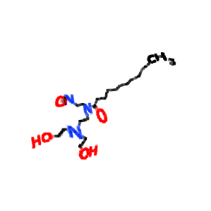 CCCCCCCCCCCC(=O)N(CCN=O)CCN(CCO)CCO